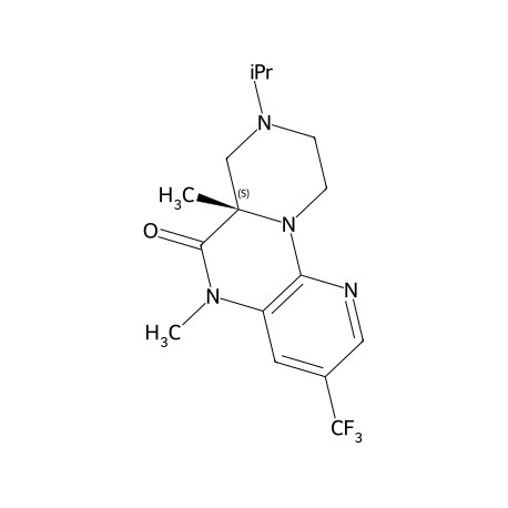 CC(C)N1CCN2c3ncc(C(F)(F)F)cc3N(C)C(=O)[C@]2(C)C1